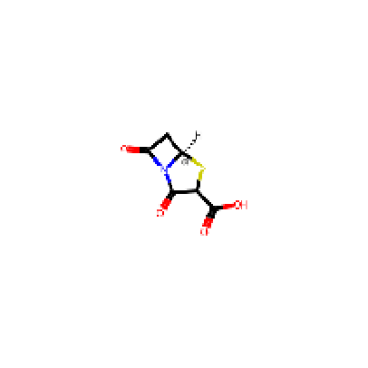 O=C(O)C1S[C@@H]2CC(=O)N2C1=O